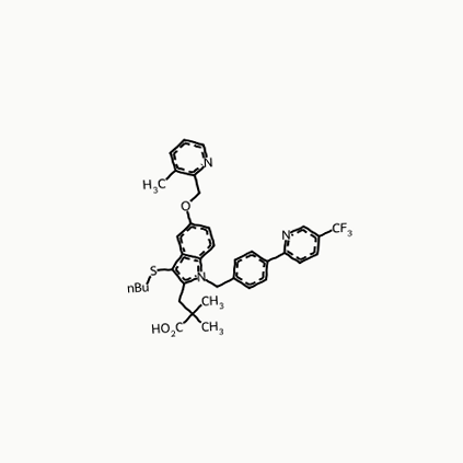 CCCCSc1c(CC(C)(C)C(=O)O)n(Cc2ccc(-c3ccc(C(F)(F)F)cn3)cc2)c2ccc(OCc3ncccc3C)cc12